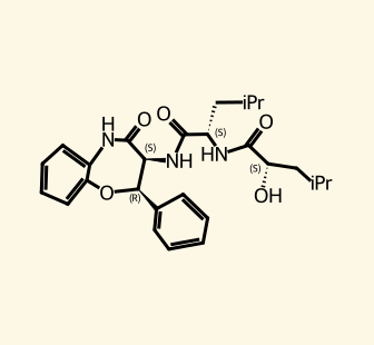 CC(C)C[C@H](NC(=O)[C@@H](O)CC(C)C)C(=O)N[C@@H]1C(=O)Nc2ccccc2O[C@@H]1c1ccccc1